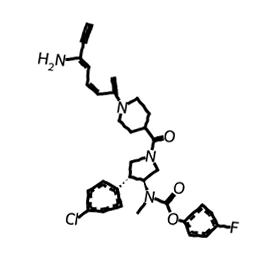 C#C/C(N)=C/C=C\C(=C)N1CCC(C(=O)N2C[C@@H](N(C)C(=O)Oc3ccc(F)cc3)[C@H](c3ccc(Cl)cc3)C2)CC1